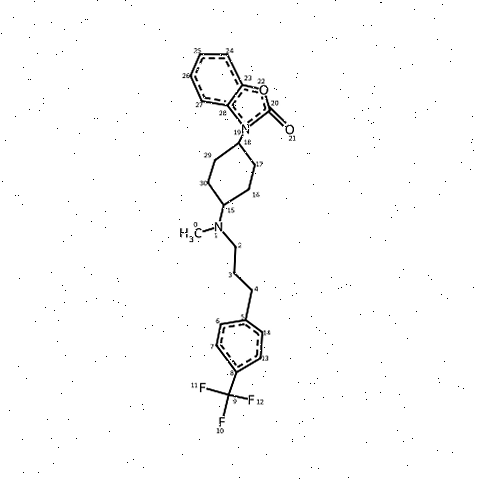 CN(CCCc1ccc(C(F)(F)F)cc1)C1CCC(n2c(=O)oc3ccccc32)CC1